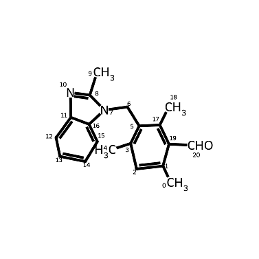 Cc1cc(C)c(Cn2c(C)nc3ccccc32)c(C)c1C=O